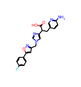 Nc1ccc(CC(C(=O)O)c2cn(Cc3cc(-c4ccc(F)cc4)on3)cn2)cn1